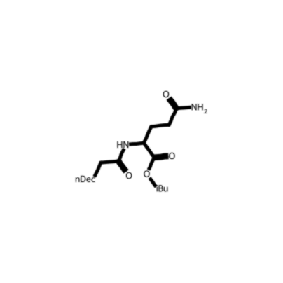 CCCCCCCCCCCC(=O)NC(CCC(N)=O)C(=O)OC(C)CC